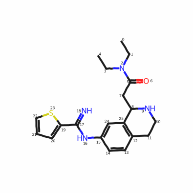 CCN(CC)C(=O)CC1NCCc2ccc(NC(=N)c3cccs3)cc21